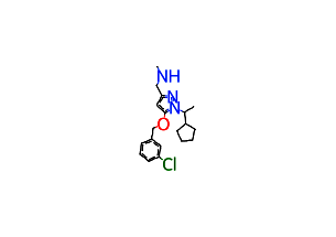 CNCc1cc(OCc2cccc(Cl)c2)n(C(C)C2CCCC2)n1